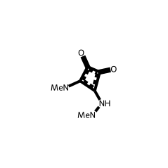 CNNc1c(NC)c(=O)c1=O